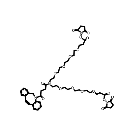 O=C(CCOCCOCCOCCOCCN(CCOCCOCCOCCOCCC(=O)ON1C(=O)CCC1=O)C(=O)CCC(=O)N1Cc2ccccc2C#Cc2ccccc21)ON1C(=O)CCC1=O